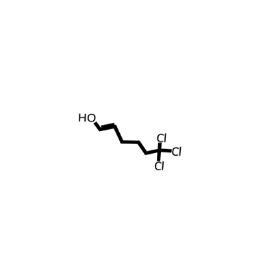 OC=CCCCC(Cl)(Cl)Cl